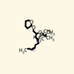 CC/C=C\C/C=C\CC(COC1CCCCO1)O[Si](C)(C)C(C)(C)C